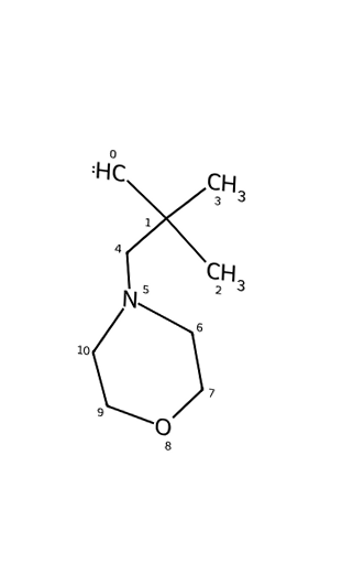 [CH]C(C)(C)CN1CCOCC1